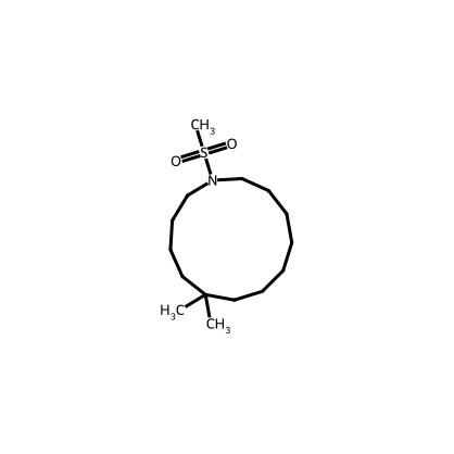 CC1(C)CCCCCCCN(S(C)(=O)=O)CCCC1